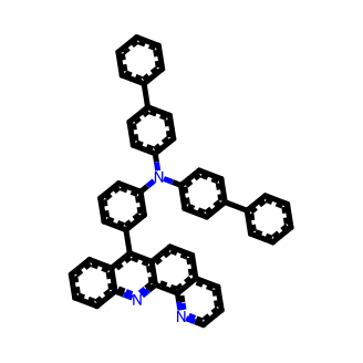 c1ccc(-c2ccc(N(c3ccc(-c4ccccc4)cc3)c3cccc(-c4c5ccccc5nc5c4ccc4cccnc45)c3)cc2)cc1